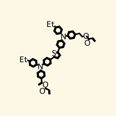 C=CC(=O)OCCc1ccc(N(c2ccc(CC)cc2)c2ccc(-c3ccc(-c4ccc(N(c5ccc(CC)cc5)c5ccc(C(=C)OC(=O)C=C)cc5)cc4)s3)cc2)cc1